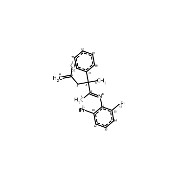 C=C(C)CC(C)(C(C)=Nc1c(C(C)C)cccc1C(C)C)c1ccccc1